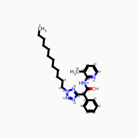 CCCCCCCCCCCCn1nnc(C(C(=O)Nc2ncccc2C)c2ccccc2)n1